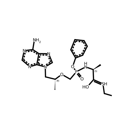 CC[SH]=C(O)[C@H](C)NP(=O)(CO[C@H](C)Cn1cnc2c(N)ncnc21)Oc1ccccc1